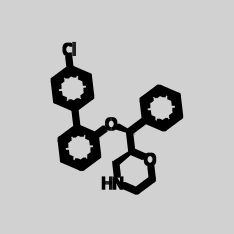 Clc1ccc(-c2ccccc2O[C@@H](c2ccccc2)[C@@H]2CNCCO2)cc1